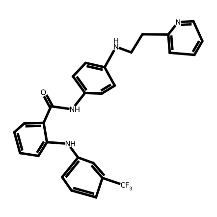 O=C(Nc1ccc(NCCc2ccccn2)cc1)c1ccccc1Nc1cccc(C(F)(F)F)c1